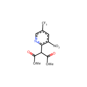 COC(=O)C(C(=O)OC)c1ncc(C(F)(F)F)cc1[N+](=O)[O-]